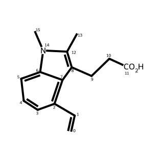 C=Cc1cccc2c1c(CCC(=O)O)c(C)n2C